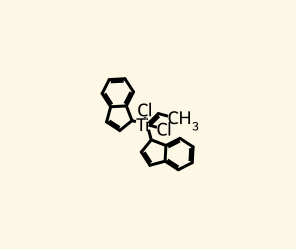 C[CH]=[Ti]([Cl])([Cl])([CH]1C=Cc2ccccc21)[CH]1C=Cc2ccccc21